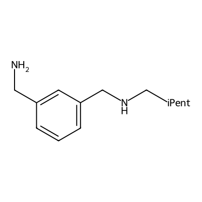 CCCC(C)CNCc1cccc(CN)c1